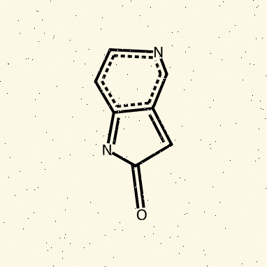 O=C1C=c2cnccc2=N1